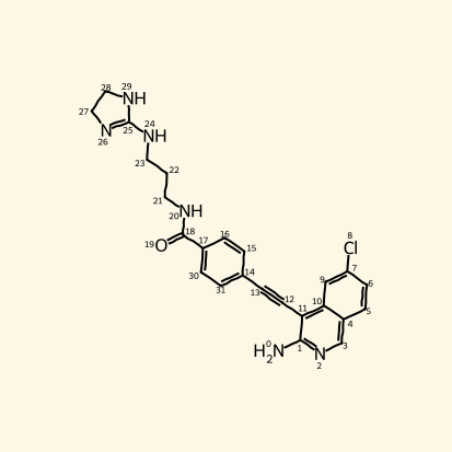 Nc1ncc2ccc(Cl)cc2c1C#Cc1ccc(C(=O)NCCCNC2=NCCN2)cc1